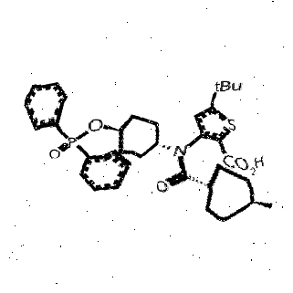 CC(C)(C)c1cc(N(C(=O)[C@H]2CC[C@H](C)CC2)[C@H]2CC[C@H](OP(=O)(c3ccccc3)c3ccccc3)CC2)c(C(=O)O)s1